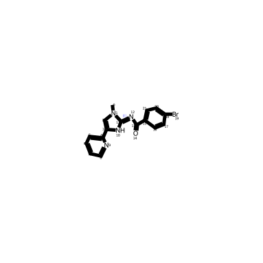 Cn1cc(-c2ccccn2)[nH]/c1=N\C(=O)c1ccc(Br)cc1